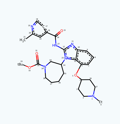 CCN1CCC(Oc2cccc3nc(NC(=O)c4ccnc(C)c4)n(C4CCCCN(C(=O)OC(C)(C)C)C4)c23)CC1